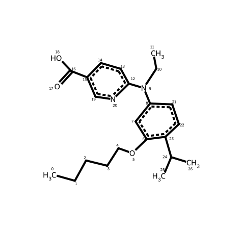 CCCCCOc1cc(N(CC)c2ccc(C(=O)O)cn2)ccc1C(C)C